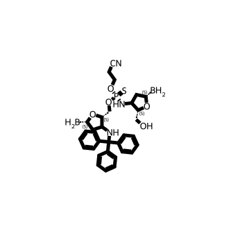 B[C@H]1CC(NC(c2ccccc2)(c2ccccc2)c2ccccc2)[C@@H](COP(=S)(NC2C[C@H](B)O[C@@H]2CO)OCCC#N)O1